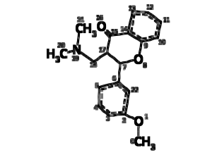 COc1cccc(C2Oc3ccccc3C(=O)C2CN(C)C)c1